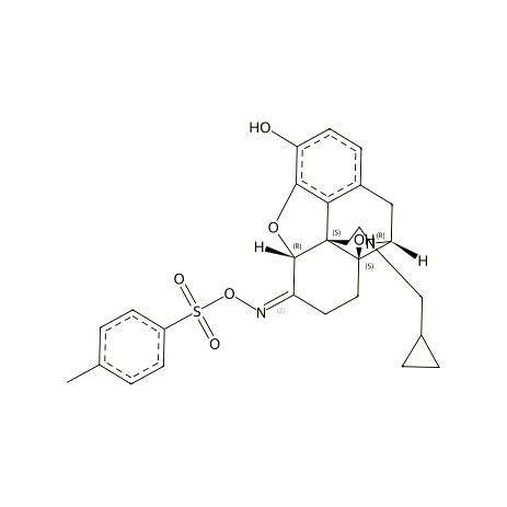 Cc1ccc(S(=O)(=O)O/N=C2/CC[C@@]3(O)[C@H]4Cc5ccc(O)c6c5[C@@]3(CCN4CC3CC3)[C@H]2O6)cc1